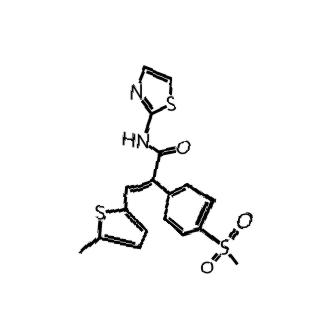 Cc1ccc(/C=C(/C(=O)Nc2nccs2)c2ccc(S(C)(=O)=O)cc2)s1